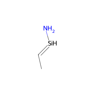 CC=[SiH]N